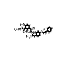 CC(Cc1ccc(OCC(F)(F)c2ccccc2)cc1)NC[C@H](O)c1ccc(O)c(N(C=O)OC=O)c1